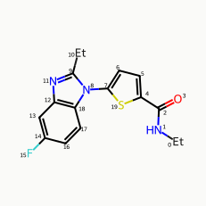 CCNC(=O)c1ccc(-n2c(CC)nc3cc(F)ccc32)s1